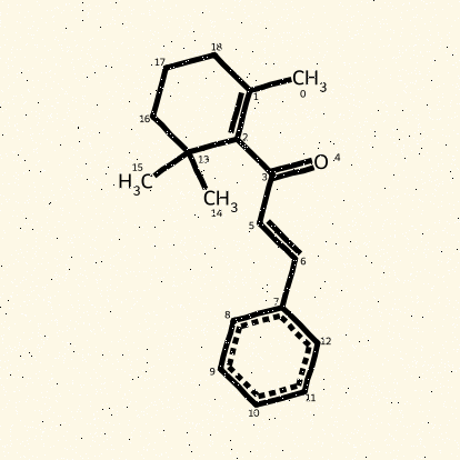 CC1=C(C(=O)/C=C/c2ccccc2)C(C)(C)CCC1